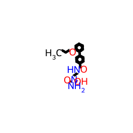 CCCCOc1ccccc1-c1ccc(C(=O)NCCN(O)C(N)=O)cc1